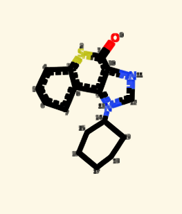 O=c1sc2ccccc2c2c1ncn2C1CCCCC1